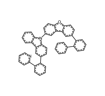 c1ccc(-c2ccccc2-c2ccc3oc4ccc(-n5c6ccccc6c6cc(-c7ccccc7-c7ccccn7)ccc65)cc4c3c2)cc1